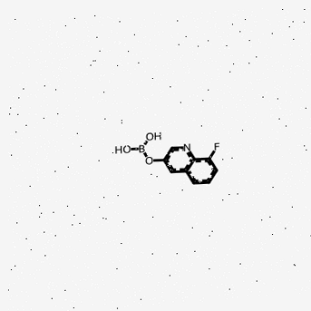 OB(O)Oc1cnc2c(F)cccc2c1